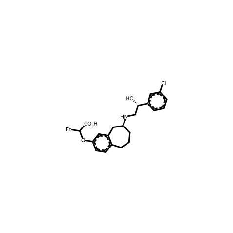 CCC(Oc1ccc2c(c1)C[C@@H](NC[C@H](O)c1cccc(Cl)c1)CCC2)C(=O)O